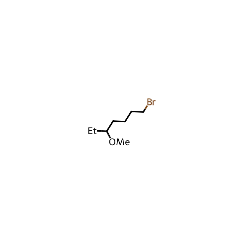 CCC(CCCCBr)OC